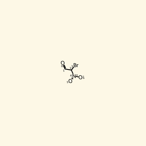 O=CC(Br)[N+](=O)[O-]